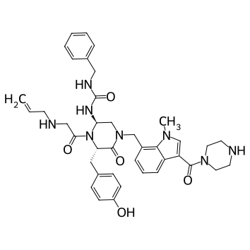 C=CCNCC(=O)N1[C@@H](NC(=O)NCc2ccccc2)CN(Cc2cccc3c(C(=O)N4CCNCC4)cn(C)c23)C(=O)[C@@H]1Cc1ccc(O)cc1